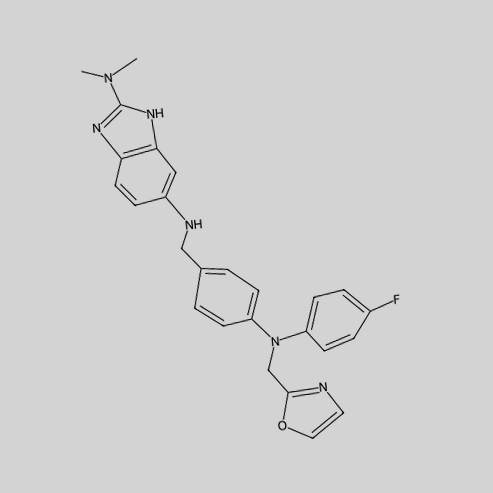 CN(C)c1nc2ccc(NCc3ccc(N(Cc4ncco4)c4ccc(F)cc4)cc3)cc2[nH]1